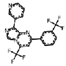 FC(F)(F)c1cccc(-c2cc(C(F)(F)F)n3cnc(-c4cccnc4)c3n2)c1